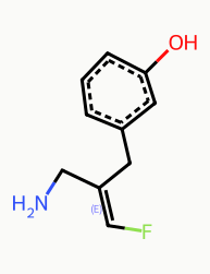 NC/C(=C/F)Cc1cccc(O)c1